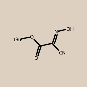 CC(C)(C)OC(=O)C(C#N)=NO